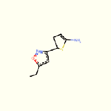 CCc1cc(C2CC=C(N)S2)no1